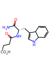 NC(=O)[C@H](CC1=CNC2C=CC=CC12)NC(=O)CCC(=O)O